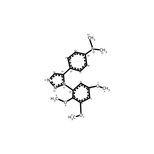 COc1cc(OC)c(OC)c(-n2nncc2-c2ccc(N(C)C)cc2)c1